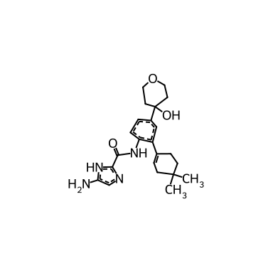 CC1(C)CC=C(c2cc(C3(O)CCOCC3)ccc2NC(=O)c2ncc(N)[nH]2)CC1